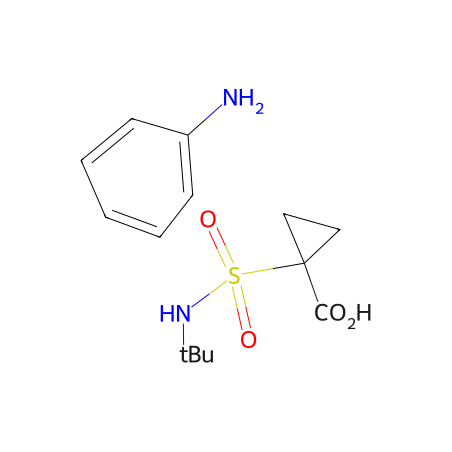 CC(C)(C)NS(=O)(=O)C1(C(=O)O)CC1.Nc1ccccc1